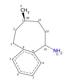 C[C@@H]1CCc2ccccc2C(N)CC1